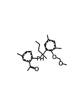 CCCC(C)(Pc1ccc(C)cc1C(C)=O)c1cc(C)cc(C)c1OCOC